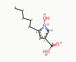 CCCCCc1cc(C(=O)O)cn1O